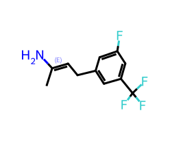 C/C(N)=C\Cc1cc(F)cc(C(F)(F)F)c1